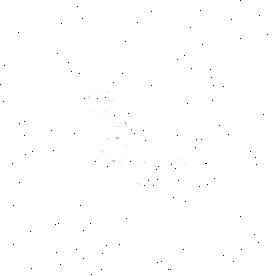 C=CCCC(CNCc1ccccc1)(c1ccccc1)c1ccccc1